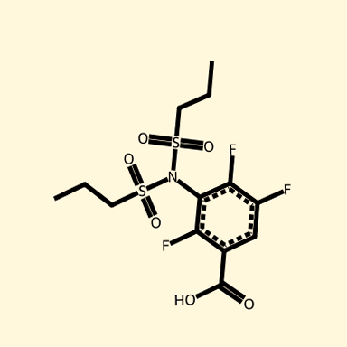 CCCS(=O)(=O)N(c1c(F)c(F)cc(C(=O)O)c1F)S(=O)(=O)CCC